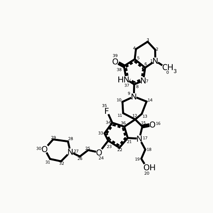 CN1CCCc2c1nc(N1CCC3(CC1)C(=O)N(CCO)c1cc(OCCN4CCOCC4)cc(F)c13)[nH]c2=O